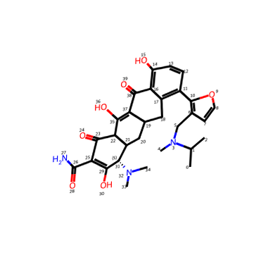 CC(C)N(C)Cc1ccoc1-c1ccc(O)c2c1CC1CC3C(C(=O)C(C(N)=O)=C(O)[C@H]3N(C)C)C(O)=C1C2=O